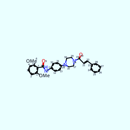 COc1cccc(OC)c1C(=O)Nc1ccc(N2CCN(C(=O)/C=C/c3ccccc3)CC2)cc1